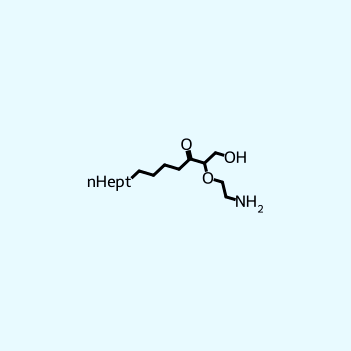 CCCCCCCCCCCC(=O)C(CO)OCCN